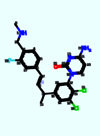 CNCc1ccc(/C=C/C(C)c2cc(Cl)c(Cl)c(-n3ccc(N)nc3=O)c2)cc1F